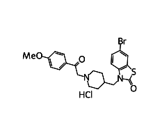 COc1ccc(C(=O)CN2CCC(Cn3c(=O)sc4cc(Br)ccc43)CC2)cc1.Cl